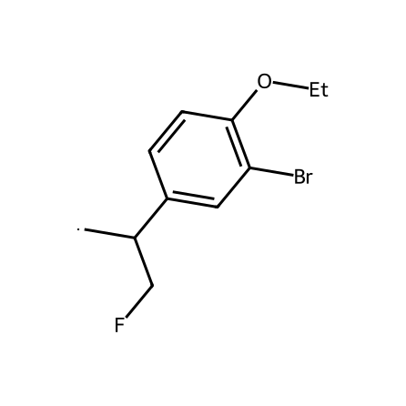 [CH2]C(CF)c1ccc(OCC)c(Br)c1